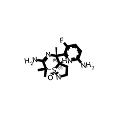 CC1(C)C(N)=N[C@](C)(c2nc(N)ccc2F)[C@@H]2CCN=[S@@]21=O